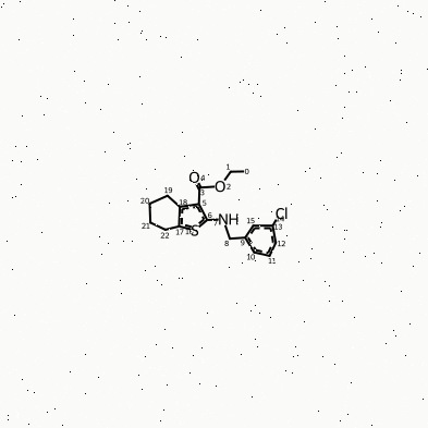 CCOC(=O)c1c(NCc2cccc(Cl)c2)sc2c1CCCC2